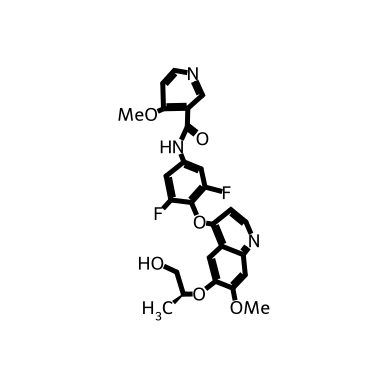 COc1cc2nccc(Oc3c(F)cc(NC(=O)c4cnccc4OC)cc3F)c2cc1O[C@@H](C)CO